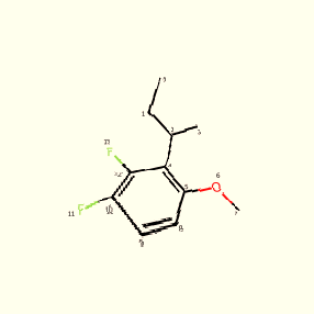 CCC(C)c1c(OC)ccc(F)c1F